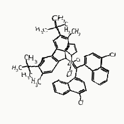 Cc1cc2c(cc1C(C)(C)C)-c1cc(C(C)(C)C)c(C)cc1[CH]2[Zr]([Cl])([Cl])(=[C](c1ccc(Cl)c2ccccc12)c1ccc(Cl)c2ccccc12)[CH]1C=CC=C1